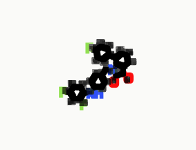 O=C1C(=O)N(Cc2ccc(Nc3ccc(F)cc3F)cc2)c2c1cccc2-c1ccc(F)cc1